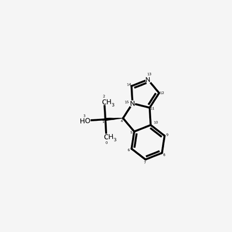 CC(C)(O)[C@@H]1c2ccccc2-c2cncn21